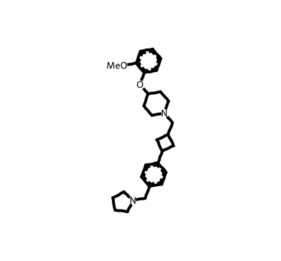 COc1ccccc1OC1CCN(CC2CC(c3ccc(CN4CCCC4)cc3)C2)CC1